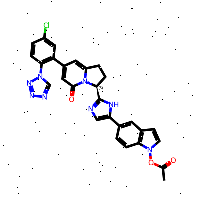 CC(=O)On1ccc2cc(-c3cnc([C@@H]4CCc5cc(-c6cc(Cl)ccc6-n6cnnn6)cc(=O)n54)[nH]3)ccc21